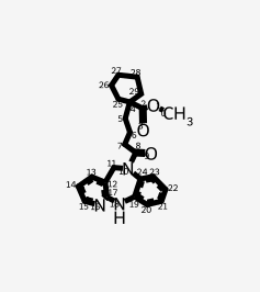 COC(=O)C1(CCCC(=O)N2Cc3cccnc3Nc3ccccc32)CCCCC1